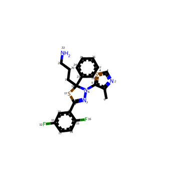 Cc1ncsc1N1N=C(c2cc(F)ccc2F)SC1(CCCN)c1ccccc1